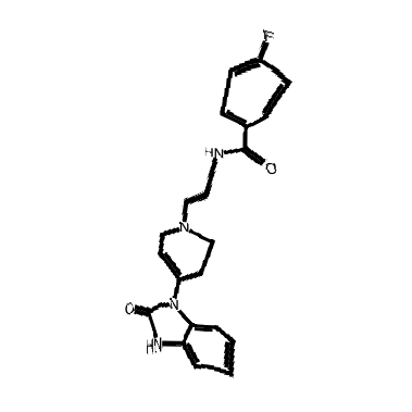 O=C(NCCN1CC=C(n2c(=O)[nH]c3ccccc32)CC1)c1ccc(F)cc1